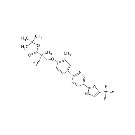 Cc1cc(-c2ccc(-c3nc(C(F)(F)F)c[nH]3)cn2)ccc1OCC(C)(C)C(=O)OC(C)(C)C